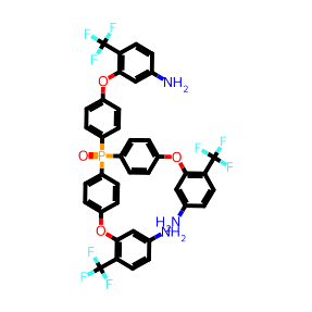 Nc1ccc(C(F)(F)F)c(Oc2ccc(P(=O)(c3ccc(Oc4cc(N)ccc4C(F)(F)F)cc3)c3ccc(Oc4cc(N)ccc4C(F)(F)F)cc3)cc2)c1